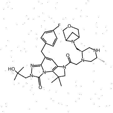 C[C@@H]1CN(CC(=O)N2CC(C)(C)c3c2cc(Cc2ccc(F)cc2)c2nn(CC(C)(C)O)c(=O)n32)[C@@H](CN2C3COCC2C3)CN1